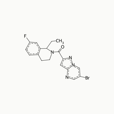 CCC1c2cc(F)ccc2CCN1C(=O)c1cc2ncc(Br)cn2n1